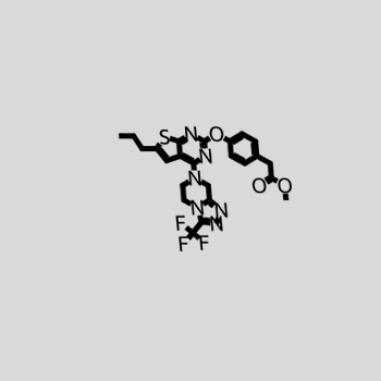 CCCc1cc2c(N3CCn4c(nnc4C(F)(F)F)C3)nc(Oc3ccc(CC(=O)OC)cc3)nc2s1